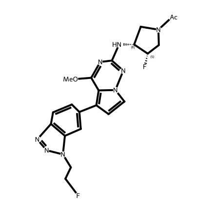 COc1nc(N[C@@H]2CN(C(C)=O)C[C@@H]2F)nn2ccc(-c3ccc4nnn(CCF)c4c3)c12